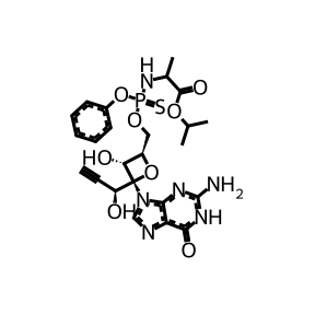 C#C[C@H](O)[C@@]1(n2cnc3c(=O)[nH]c(N)nc32)O[C@H](COP(=S)(NC(C)C(=O)OC(C)C)Oc2ccccc2)[C@H]1O